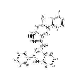 Cc1cccc(-n2nc3c(Nc4nc(-c5ccccc5)nc5ccccc45)n[nH]c3cc2=O)c1